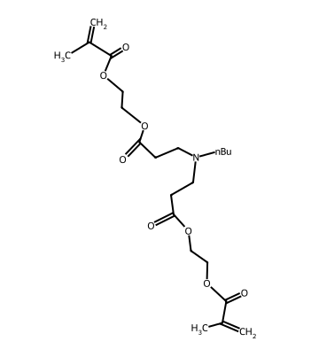 C=C(C)C(=O)OCCOC(=O)CCN(CCCC)CCC(=O)OCCOC(=O)C(=C)C